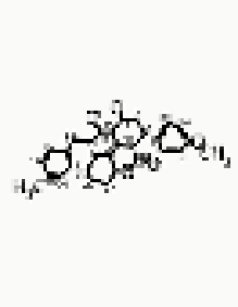 COc1ccc([C@H]2CC(=O)C(C(=O)/C=C/c3ccc(C)cc3)[C@H](C3CCCCC3)[C@H]2[N+](=O)[O-])cc1